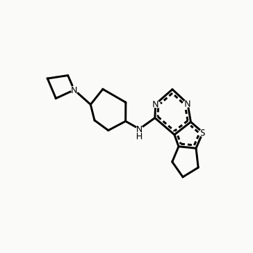 c1nc(NC2CCC(N3CCC3)CC2)c2c3c(sc2n1)CCC3